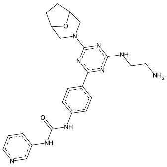 NCCNc1nc(-c2ccc(NC(=O)Nc3cccnc3)cc2)nc(N2CC3CCC(C2)O3)n1